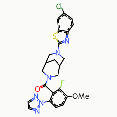 COc1ccc(-n2nccn2)c(C(=O)N2CC3CC(C2)CN(c2nc4ccc(Cl)cc4s2)C3)c1F